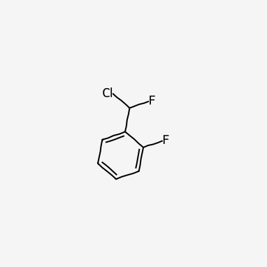 Fc1ccccc1C(F)Cl